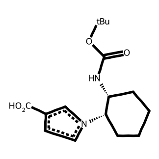 CC(C)(C)OC(=O)N[C@@H]1CCCC[C@@H]1n1ccc(C(=O)O)c1